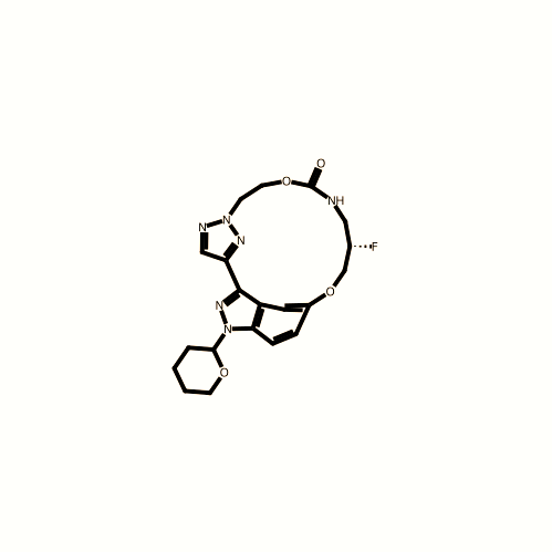 O=C1NC[C@H](F)COc2ccc3c(c2)c(nn3C2CCCCO2)-c2cnn(n2)CCO1